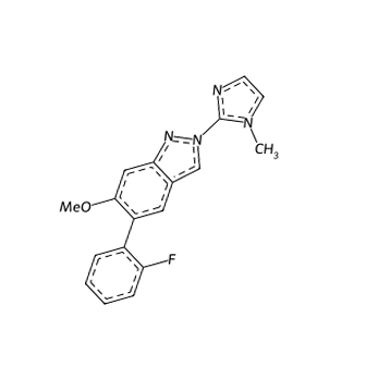 COc1cc2nn(-c3nccn3C)cc2cc1-c1ccccc1F